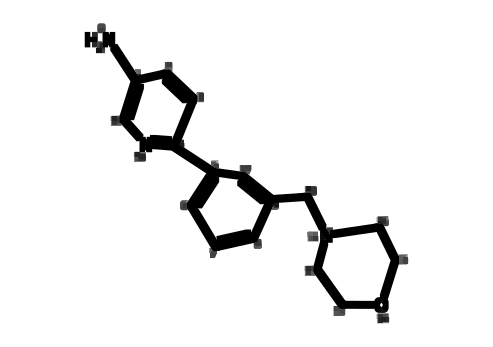 Nc1ccc(-c2cccc(CN3CCOCC3)c2)nc1